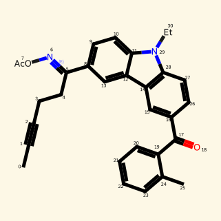 CC#CCC/C(=N\OC(C)=O)c1ccc2c(c1)c1cc(C(=O)c3ccccc3C)ccc1n2CC